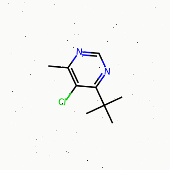 Cc1ncnc(C(C)(C)C)c1Cl